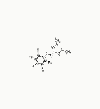 CCOP(OCC)OCc1c(F)c(F)c(F)c(F)c1F